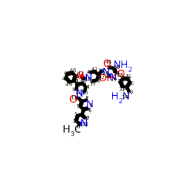 Cc1ccc(-c2cncc(C(=O)N3CC[C@@H](C(=O)N4CCC(O)(Cn5cnc(Oc6ccc(CN)cc6)c(N)c5=O)CC4)[C@H](c4ccccc4)C3)c2)cn1